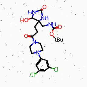 CC(C)(C)OC(=O)NCC1(CCC(=O)N2CCN(c3cc(Cl)cc(Cl)c3)CC2)NC(=O)NC1O